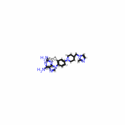 COc1cc(N2CCC(Cn3ccnc3C)CC2)ccc1-n1cnc2c(N)nc(N)nc21